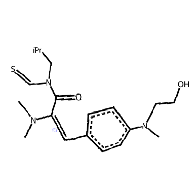 CC(C)CN(C=S)C(=O)/C(=C\c1ccc(N(C)CCO)cc1)N(C)C